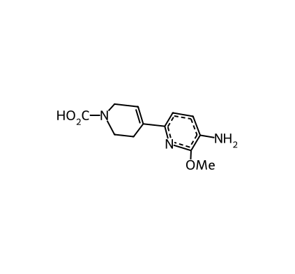 COc1nc(C2=CCN(C(=O)O)CC2)ccc1N